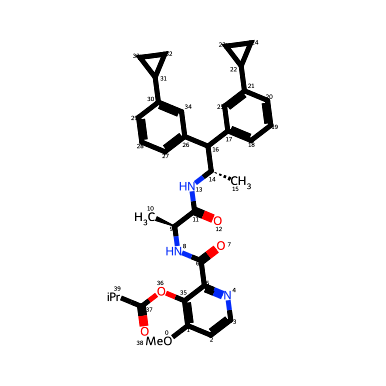 COc1ccnc(C(=O)N[C@@H](C)C(=O)N[C@@H](C)C(c2cccc(C3CC3)c2)c2cccc(C3CC3)c2)c1OC(=O)C(C)C